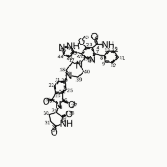 COc1c(C(N)=O)c(-c2ccccc2)nc(N2CCN(c3ccc4c(c3)C(=O)N(C3CCC(=O)NC3=O)C4=O)CC2)c1-c1ccn[nH]1